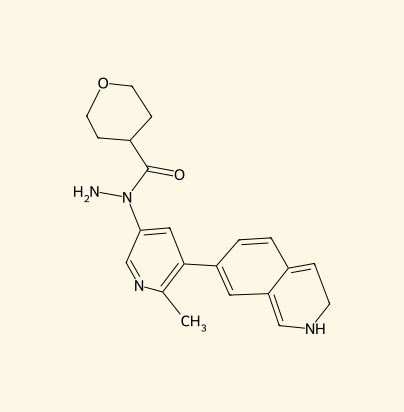 Cc1ncc(N(N)C(=O)C2CCOCC2)cc1-c1ccc2c(c1)=CNCC=2